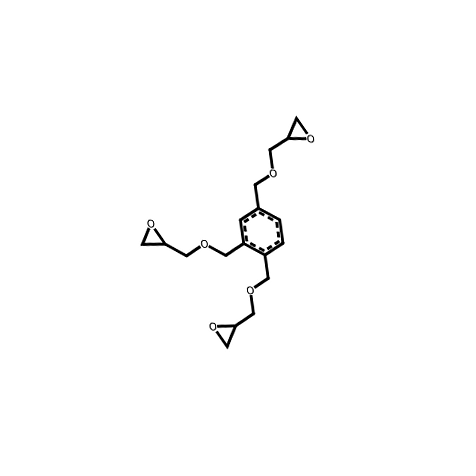 c1cc(COCC2CO2)c(COCC2CO2)cc1COCC1CO1